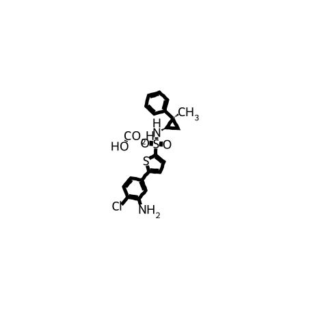 C[C@]1(c2ccccc2)C[C@@H]1NS(=O)(=O)c1ccc(-c2ccc(Cl)c(N)c2)s1.O=C(O)O